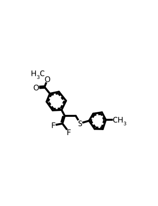 COC(=O)c1ccc(C(CSc2ccc(C)cc2)=C(F)F)cc1